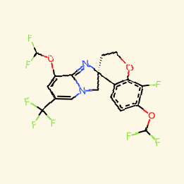 Fc1c(OC(F)F)ccc2c1OCC[C@@]21CN2C=C(C(F)(F)F)C=C(OC(F)F)C2=N1